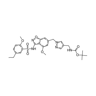 CCc1ccc(OC)c(S(=O)(=O)Nc2noc3cc(Cn4cc(CNC(=O)OC(C)(C)C)cn4)cc(OC)c23)c1